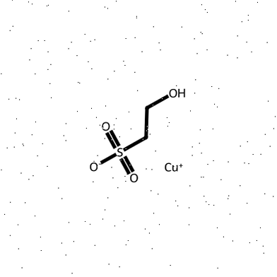 O=S(=O)([O-])CCO.[Cu+]